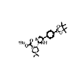 CC(C)(C)OC(=O)N1CS(C)(C)C[C@H]1c1ncc(-c2ccc(B3OC(C)(C)C(C)(C)O3)cc2)[nH]1